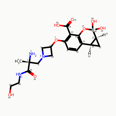 C[C@@](N)(CN1CC(Oc2ccc3c(c2C(=O)O)O[B-](O)(O)[C@H]2C[C@@H]32)C1)C(=O)NCCO